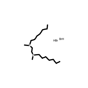 Br.Br.CCCCCCCP(C)CCP(C)CCCCCCC